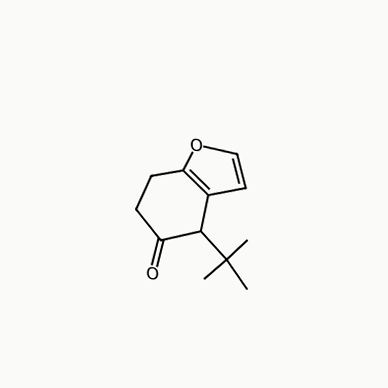 CC(C)(C)C1C(=O)CCc2occc21